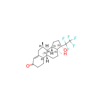 C[C@@H]1CC2=CC(=O)CC[C@]2(C)[C@H]2CC[C@@]3(C)[C@@H](CC[C@@]3(O)C(F)(F)C(F)(F)F)[C@H]12